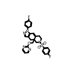 O=S(=O)(c1ccc(F)cc1)N1CCC2=Cc3c(cnn3-c3ccc(F)cc3)CC2(COc2ncccn2)C1